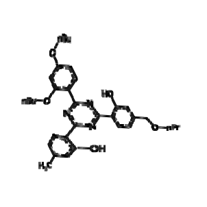 CCCCOc1ccc(-c2nc(-c3ccc(C)cc3O)nc(-c3ccc(COCCC)cc3O)n2)c(OCCCC)c1